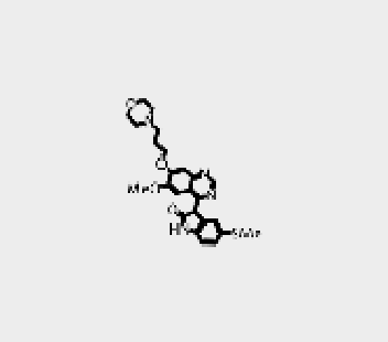 COc1cc2c(C3C(=O)Nc4ccc(SC)cc43)ncnc2cc1OCCCN1CCOCC1